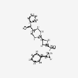 O=C(c1cscn1)N1CCN(C2CN(C(=O)[C@@H]3C[C@H]3c3ccccc3)C2)CC1